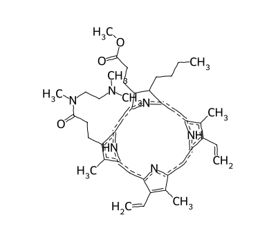 C=CC1=C(C)c2cc3[nH]c(cc4nc(cc5[nH]c(cc1n2)c(C)c5CCC(=O)N(C)CCN(C)C)C(CCC(=O)OC)C4CCCC)c(C)c3C=C